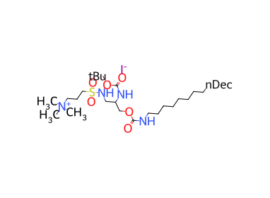 CCCCCCCCCCCCCCCCCCNC(=O)OCC(CNS(=O)(=O)CCC[N+](C)(C)C)NC(=O)OC(C)(C)C.[I-]